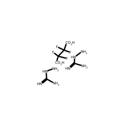 N=C(N)NN.N=C(N)NN.O=C(O)C(F)(F)C(F)(F)C(=O)O